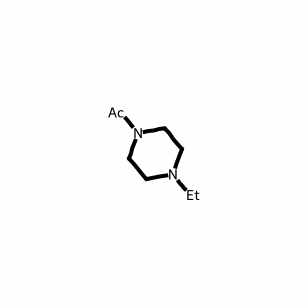 [CH2]CN1CCN(C(C)=O)CC1